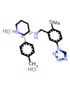 COc1ccc(-n2cnnn2)cc1CN[C@H]1CCCN[C@H]1c1ccc(C)cc1.Cl.Cl